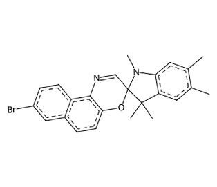 Cc1cc2c(cc1C)C(C)(C)C1(C=Nc3c(ccc4cc(Br)ccc34)O1)N2C